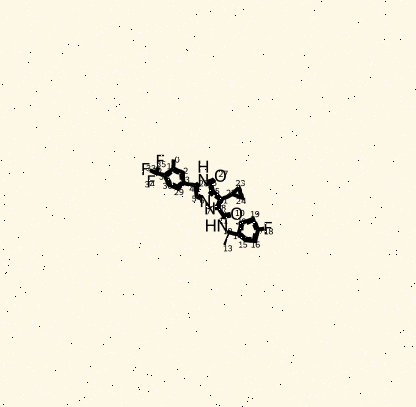 Cc1cc(-c2cn3nc(C(=O)N[C@H](C)c4ccc(F)cc4)c(C4CC4)c3c(=O)[nH]2)ccc1C(F)(F)F